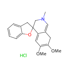 COC1=C(OC)CC2=CN(C)CC3(Cc4ccccc4O3)C2=C1.Cl